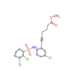 COC(=O)CCCC#Cc1cc(Cl)ccc1NS(=O)(=O)c1cccc(Cl)c1Cl